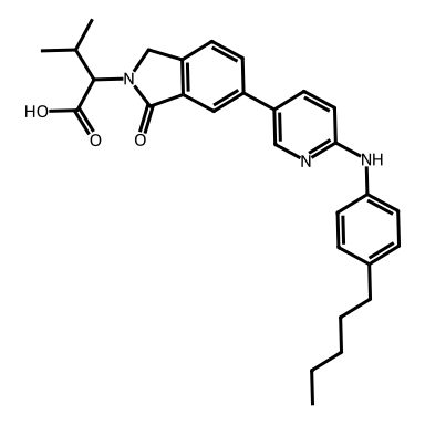 CCCCCc1ccc(Nc2ccc(-c3ccc4c(c3)C(=O)N(C(C(=O)O)C(C)C)C4)cn2)cc1